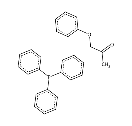 CC(=O)COc1ccccc1.c1ccc(P(c2ccccc2)c2ccccc2)cc1